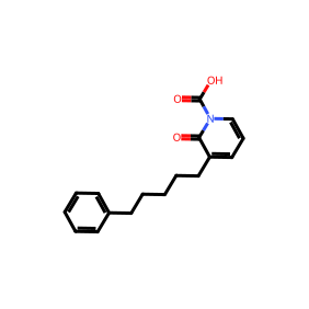 O=C(O)n1cccc(CCCCCc2ccccc2)c1=O